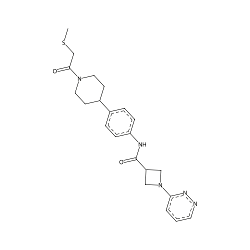 CSCC(=O)N1CCC(c2ccc(NC(=O)C3CN(c4cccnn4)C3)cc2)CC1